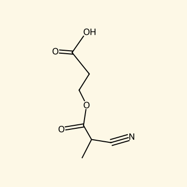 CC(C#N)C(=O)OCCC(=O)O